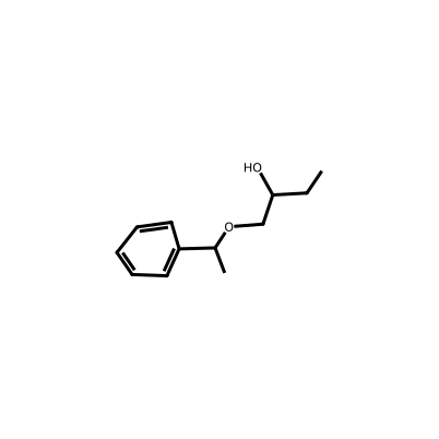 CCC(O)COC(C)c1ccccc1